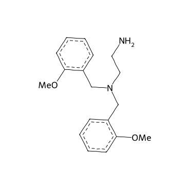 COc1ccccc1CN(CCN)Cc1ccccc1OC